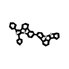 c1ccc(-c2sc(-c3ccccc3)c3c2c2cccc4c5cc(-c6ccc7c(c6)c6cccc8c9c%10ccccc%10sc9n7c68)ccc5n3c42)cc1